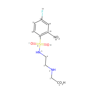 O=C(O)CNCCNS(=O)(=O)c1ccc(F)cc1[N+](=O)[O-]